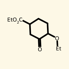 CCOC(=O)C1CCC(OCC)C(=O)C1